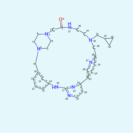 O=C1CN2CCN(CC2)Cc2cccc(c2)Nc2nccc(n2)-c2ccc(nc2)CN(CC2CC2)CCN1